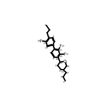 CCCc1ccc(-c2ccc(C3CCC(CCC)CO3)c(F)c2F)cc1F